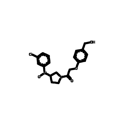 O=C(COc1ccc(CO)cc1)N1CCC([S+]([O-])c2cccc(Cl)c2)C1